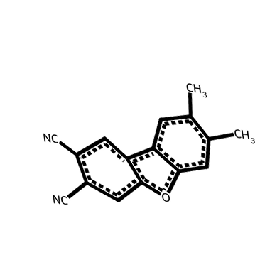 Cc1cc2oc3cc(C#N)c(C#N)cc3c2cc1C